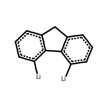 [Li][c]1cccc2c1-c1[c]([Li])cccc1C2